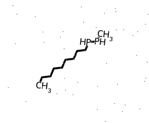 CCCCCCCCCPPC